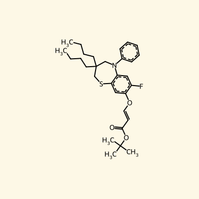 CCCCC1(CCCC)CSc2cc(O/C=C/C(=O)OC(C)(C)C)c(F)cc2N(c2ccccc2)C1